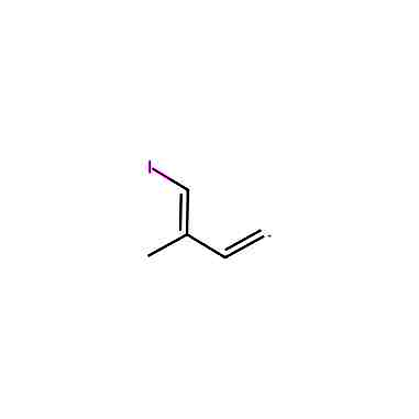 [CH]=CC(C)=CI